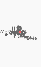 CNCC(CC(C)C)NC(=O)N1CCC[C@@H]([C@@](O)(CCCCOC)c2ccccc2Oc2ccccc2)C1